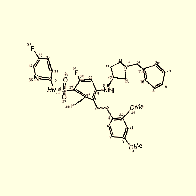 COc1ccc(CCc2c(N[C@H]3CCN(Cc4ccccc4)C3)cc(F)c(S(=O)(=O)Nc3ccc(F)cn3)c2F)c(OC)c1